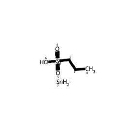 CCCS(=O)(=O)O.[SnH2]